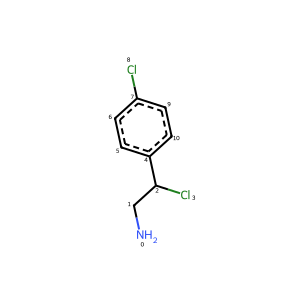 NCC(Cl)c1ccc(Cl)cc1